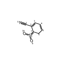 N#CC1=CC=CCC1=S(=O)=O